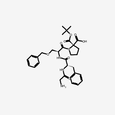 CC(C)(C)OC(=O)[C@@]1(C(=O)O)CCCN1C(=O)[C@H](COCc1ccccc1)NC(=O)[C@H](Cc1ccccc1)NC(=O)CN